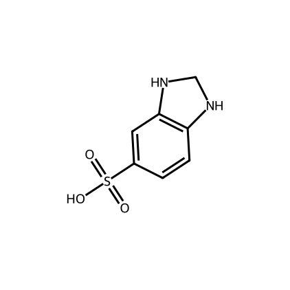 O=S(=O)(O)c1ccc2c(c1)NCN2